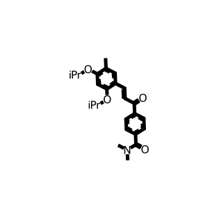 Cc1cc(C=CC(=O)c2ccc(C(=O)N(C)C)cc2)c(OC(C)C)cc1OC(C)C